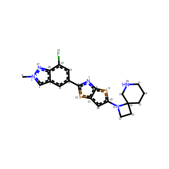 Cn1cc2cc(-c3nc4sc(N5CCC56CCCNC6)cc4s3)cc(F)c2n1